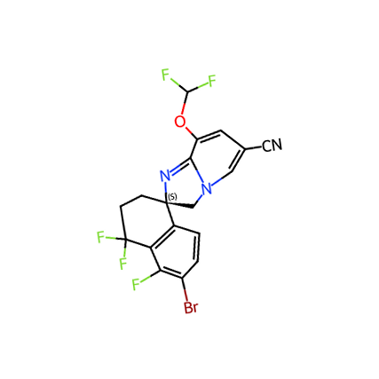 N#CC1=CN2C[C@@]3(CCC(F)(F)c4c3ccc(Br)c4F)N=C2C(OC(F)F)=C1